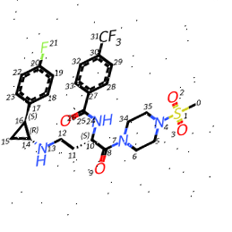 CS(=O)(=O)N1CCN(C(=O)[C@H](CCN[C@@H]2C[C@H]2c2ccc(F)cc2)NC(=O)c2ccc(C(F)(F)F)cc2)CC1